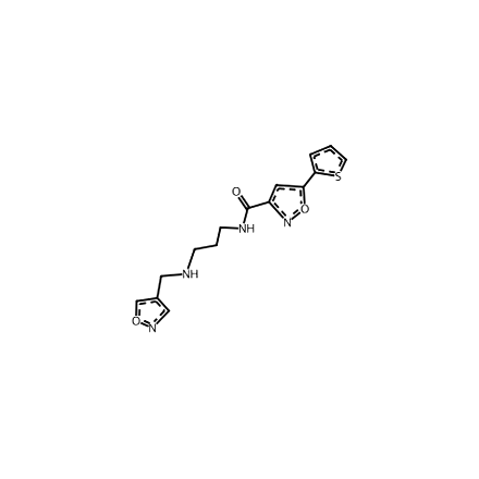 O=C(NCCCNCc1cnoc1)c1cc(-c2cccs2)on1